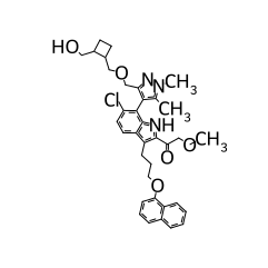 COCC(=O)c1[nH]c2c(-c3c(COCC4CCC4CO)nn(C)c3C)c(Cl)ccc2c1CCCOc1cccc2ccccc12